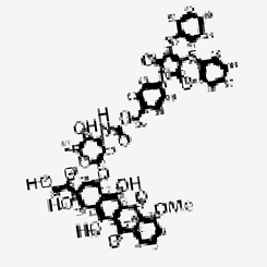 COc1cccc2c1C(=O)c1c(O)c3c(c(O)c1C2=O)C[C@@](O)(C(=O)CO)C[C@@H]3O[C@H]1C[C@H](NC(=O)OCc2ccc(N3C(=O)C(Sc4ccccc4)=C(Sc4ccccc4)C3=O)cc2)[C@H](O)[C@H](C)O1